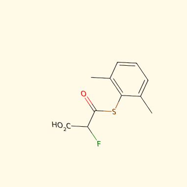 Cc1cccc(C)c1SC(=O)C(F)C(=O)O